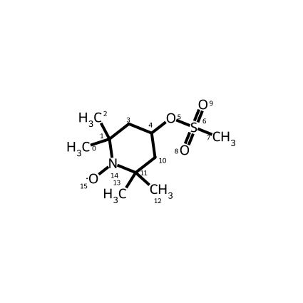 CC1(C)CC(OS(C)(=O)=O)CC(C)(C)N1[O]